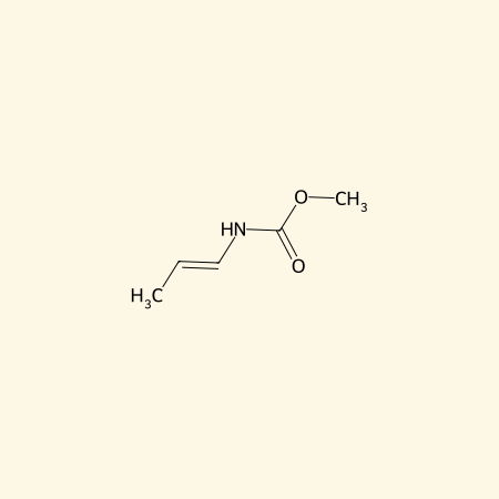 CC=CNC(=O)OC